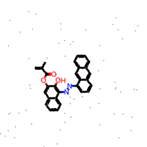 C=C(C)C(=O)Oc1cc2ccccc2c(N=Nc2cccc3cc4ccccc4cc23)c1O